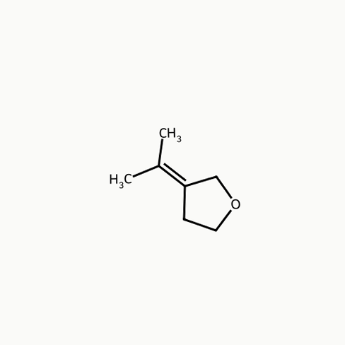 CC(C)=C1CCOC1